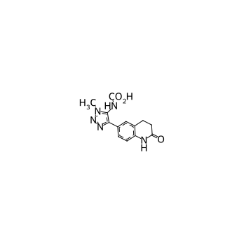 Cn1nnc(-c2ccc3c(c2)CCC(=O)N3)c1NC(=O)O